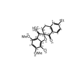 CCc1ccc2c(n1)C[C@@H](C)[C@]1(Oc3c(Cl)c(OC)cc(OC)c3C1=O)C2=O